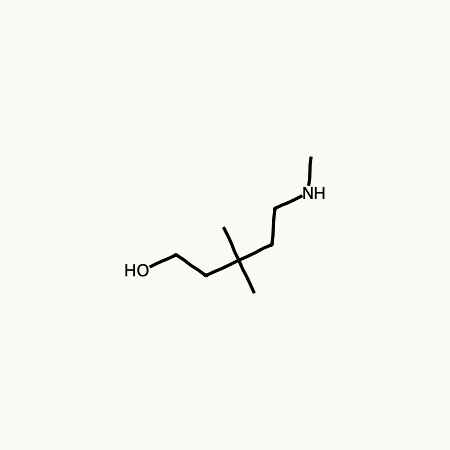 CNCCC(C)(C)CCO